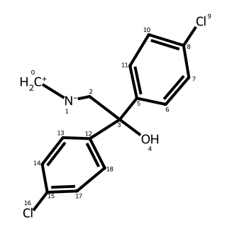 [CH2+][N-]CC(O)(c1ccc(Cl)cc1)c1ccc(Cl)cc1